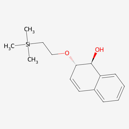 C[Si](C)(C)CCO[C@H]1C=Cc2ccccc2[C@@H]1O